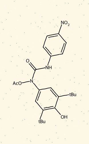 CC(=O)ON(C(=O)Nc1ccc([N+](=O)[O-])cc1)c1cc(C(C)(C)C)c(O)c(C(C)(C)C)c1